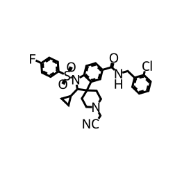 N#CCN1CCC2(CC1)c1cc(C(=O)NCc3ccccc3Cl)ccc1N(S(=O)(=O)c1ccc(F)cc1)C2C1CC1